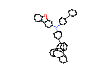 c1ccc(-c2ccc(N(c3ccc(-c4ccc5c(c4)-c4c6cccc4-c4cccc-5c4-c4ccccc4-6)cc3)c3ccc4c(c3)oc3ccccc34)cc2)cc1